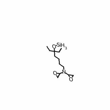 CCC(CC)(CCCCN(C1CO1)C1CO1)O[SiH3]